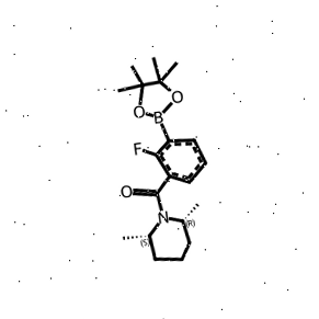 C[C@@H]1CCC[C@H](C)N1C(=O)c1cccc(B2OC(C)(C)C(C)(C)O2)c1F